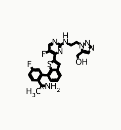 C[C@H](N)c1ccc(F)cc1-c1cccc2cc(-c3nc(NCCn4nncc4CO)ncc3F)sc12